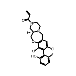 C=CC(=O)N1CCN2Cc3cc(Cl)c(-c4c(O)cccc4F)c(Cl)c3OC[C@H]2C1